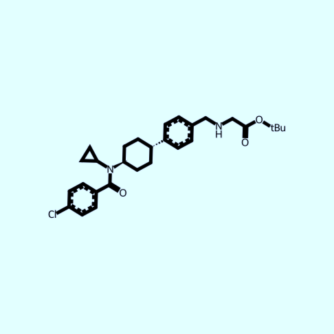 CC(C)(C)OC(=O)CNCc1ccc([C@H]2CC[C@H](N(C(=O)c3ccc(Cl)cc3)C3CC3)CC2)cc1